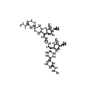 CCC[C@H]1CCC[C@H]([C@H]2CC[C@H](C(=CCOCC=C(c3ccc(C#N)c(F)c3)[C@H]3CC[C@H]([C@H]4CCC[C@H](CCC)C4)CC3)c3ccc(C#N)c(F)c3)CC2)C1